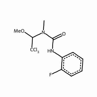 COC(N(C)C(=O)Nc1ccccc1F)C(Cl)(Cl)Cl